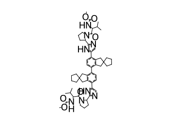 COC(=O)NC(C(=O)N1CCCC1c1ncc(-c2ccc(-c3ccc(-c4cnc(C5CCCN5C(=O)C(NC(=O)OC)C(C)C)[nH]4)c4c3CC3(CCCC3)C4)c3c2CC2(CCCC2)C3)[nH]1)C(C)C